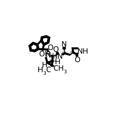 CC1(C)[C@@H]2[C@H](C(=O)N[C@@H](C#N)C[C@H]3CCNC3=O)N(C(=O)C3(O)c4ccccc4-c4ccccc43)C[C@@H]21